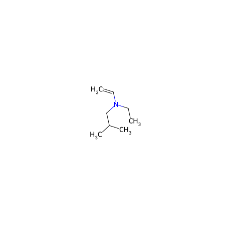 C=CN(CC)CC(C)C